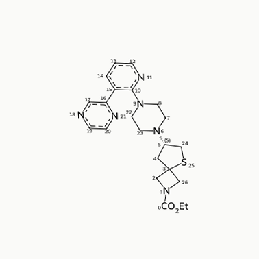 CCOC(=O)N1CC2(C[C@H](N3CCN(c4ncccc4-c4cnccn4)CC3)CS2)C1